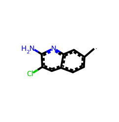 [CH2]c1ccc2cc(Cl)c(N)nc2c1